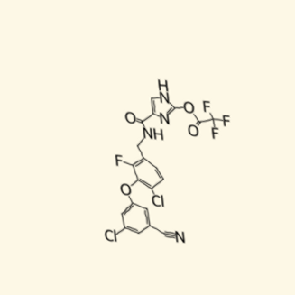 N#Cc1cc(Cl)cc(Oc2c(Cl)ccc(CNC(=O)c3c[nH]c(OC(=O)C(F)(F)F)n3)c2F)c1